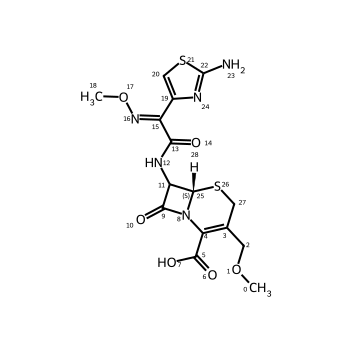 COCC1=C(C(=O)O)N2C(=O)C(NC(=O)C(=NOC)c3csc(N)n3)[C@@H]2SC1